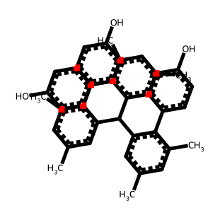 Cc1cc(C)c(-c2ccc(O)cc2)c(C(c2cc(C)cc(C)c2-c2ccc(O)cc2)c2cc(C)cc(C)c2-c2ccc(O)cc2)c1